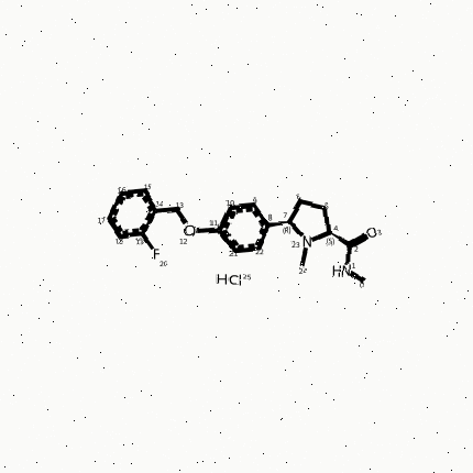 CNC(=O)[C@@H]1CC[C@H](c2ccc(OCc3ccccc3F)cc2)N1C.Cl